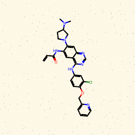 C=CC(=O)Nc1cc2c(Nc3ccc(OCc4ccccn4)c(Cl)c3)ncnc2cc1N1CCC(N(C)C)C1